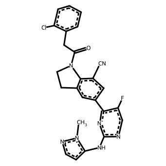 Cn1nccc1Nc1ncc(F)c(-c2cc(C#N)c3c(c2)CCN3C(=O)Cc2ccccc2Cl)n1